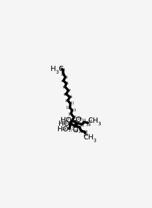 CCCCCCCCCCCCCCCCC(O)(C(=O)CCCCC)C(O)(CO)C(=O)CCCCC